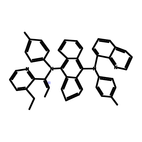 C/C=C(\c1ncccc1CC)N(c1ccc(C)cc1)c1c2ccccc2c(N(c2ccc(C)cc2)c2cccc3cccnc23)c2ccccc12